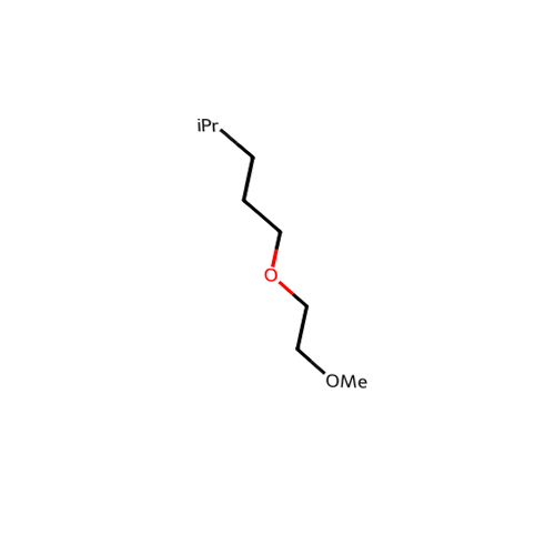 COCCOCCCC(C)C